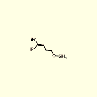 CC(C)C(=CCCO[SiH3])C(C)C